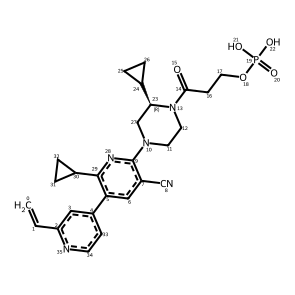 C=Cc1cc(-c2cc(C#N)c(N3CCN(C(=O)CCOP(=O)(O)O)[C@H](C4CC4)C3)nc2C2CC2)ccn1